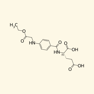 CCOC(=O)CNc1ccc(C(=O)N[C@@H](CCC(=O)O)C(=O)O)cc1